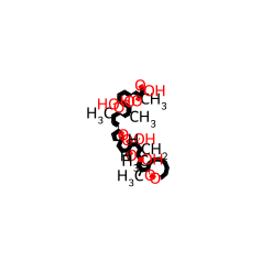 C=C1[C@@H](O)[C@@H]2O[C@]3(CC[C@H](/C=C/[C@@H](C)[C@@H]4CC(C)=C[C@@]5(O[C@H](C[C@@](C)(O)C(=O)O)CC[C@H]5O)O4)O3)CC[C@H]2O[C@@H]1[C@@H](O)C[C@H](C)[C@H]1OOCCCCCC[C@H]1C